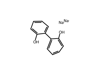 Oc1ccccc1-c1ccccc1O.[Na].[Na]